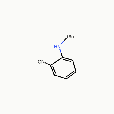 CC(C)(C)Nc1ccccc1N=O